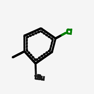 Cc1ccc(Cl)cc1C(C)(C)C